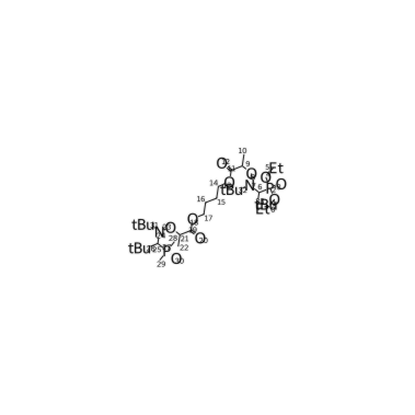 CCOP(=O)(OCC)C(N(OC(C)C(=O)OCCCCOC(=O)C(C)ON(C(C(C)(C)C)P(C)(C)=O)C(C)(C)C)C(C)(C)C)C(C)(C)C